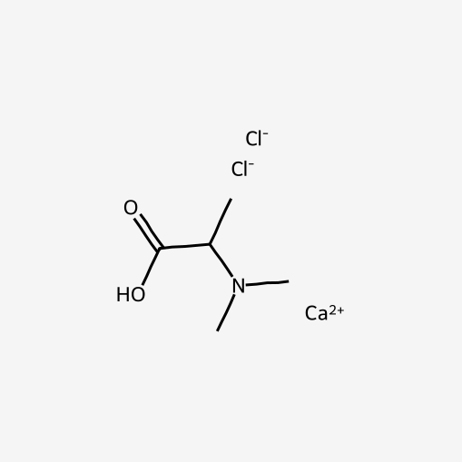 CC(C(=O)O)N(C)C.[Ca+2].[Cl-].[Cl-]